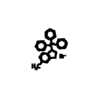 Cc1ccc2c(c1)CCC2[P+](c1ccccc1)(c1ccccc1)c1ccccc1.[Br-]